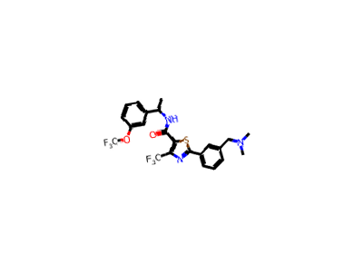 CC(NC(=O)c1sc(-c2cccc(CN(C)C)c2)nc1C(F)(F)F)c1cccc(OC(F)(F)F)c1